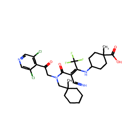 CC1(CN(CC(=O)c2c(Cl)cncc2Cl)C(=O)/C(C=N)=C(/NC2CCC(C)(C(=O)O)CC2)C(F)(F)F)CCCCC1